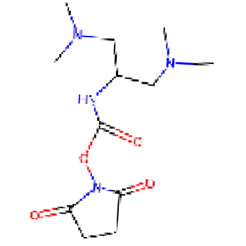 CN(C)CC(CN(C)C)NC(=O)ON1C(=O)CCC1=O